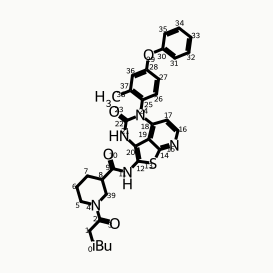 CCC(C)CC(=O)N1CCCC(C(=O)Nc2sc3nccc4c3c2NC(=O)N4c2ccc(Oc3ccccc3)cc2C)C1